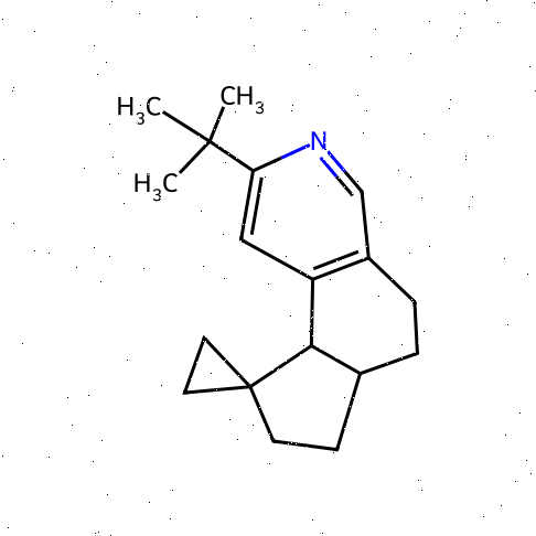 CC(C)(C)c1cc2c(cn1)CCC1CCC3(CC3)C21